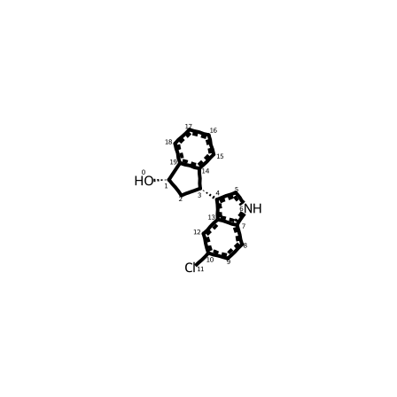 O[C@H]1C[C@@H](c2c[nH]c3ccc(Cl)cc23)c2ccccc21